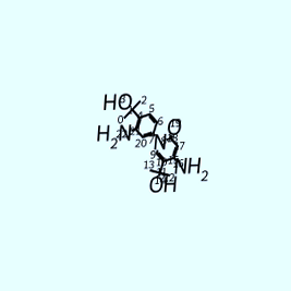 CC(C)(O)c1ccc(-n2cc(C(C)(C)O)c(N)cc2=O)cc1N